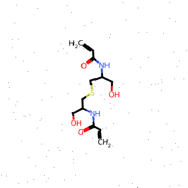 C=CC(=O)NC(CO)CSCC(CO)NC(=O)C=C